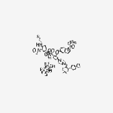 CN(C)CCCNc1ccc(S(=O)(=O)NC(=O)c2ccc(N3CCN(CC4=C(c5ccc(Cl)cc5)CC(C)(C)CC4)CC3)cc2Oc2ccc3c(ccn3C(=O)OC(C)(C)C)c2)cc1[N+](=O)[O-].O=C(O)C(F)(F)F.O=C(O)C(F)(F)F